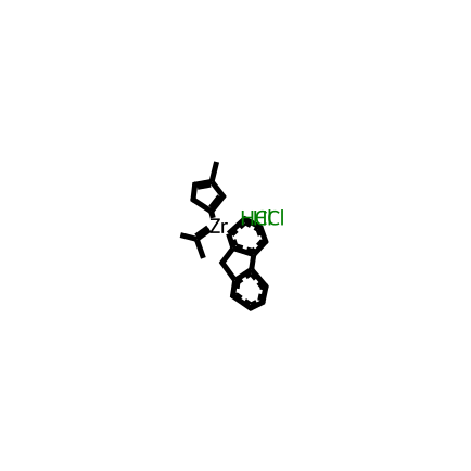 CC1=CC[C]([Zr](=[C](C)C)[c]2cccc3c2Cc2ccccc2-3)=C1.Cl.Cl